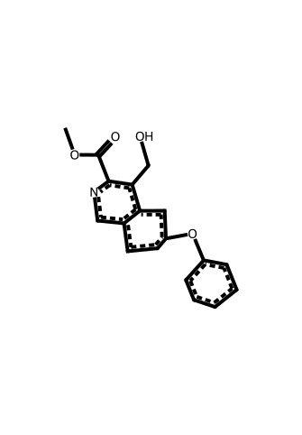 COC(=O)c1ncc2ccc(Oc3ccccc3)cc2c1CO